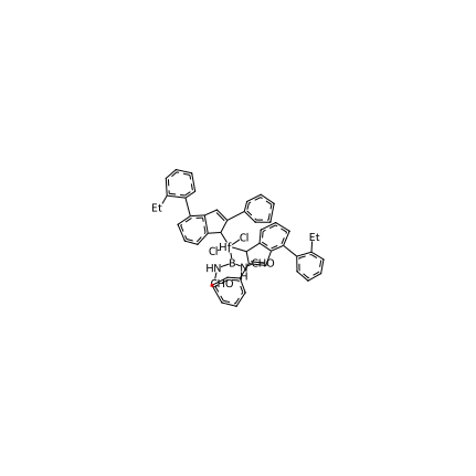 CCc1ccccc1-c1cccc2c1C=C(c1ccccc1)[CH]2[Hf]([Cl])([Cl])([B](NC=O)NC=O)[CH]1C(c2ccccc2)=Cc2c(-c3ccccc3CC)cccc21